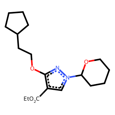 CCOC(=O)c1cn(C2CCCCO2)nc1OCCC1CCCC1